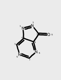 O=C1N=Nc2cncnc21